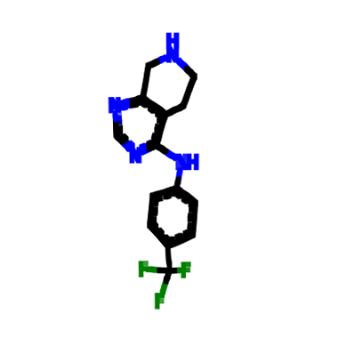 FC(F)(F)c1ccc(Nc2ncnc3c2CCNC3)cc1